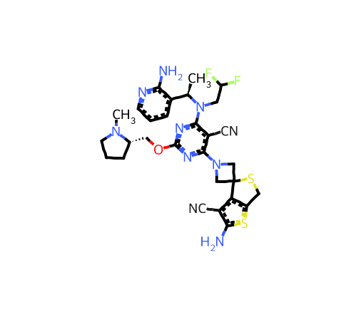 C[C@H](c1cccnc1N)N(CC(F)F)c1nc(OC[C@@H]2CCCN2C)nc(N2CC3(C2)SCc2sc(N)c(C#N)c23)c1C#N